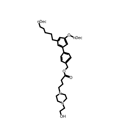 CCCCCCCCCCCCCCCc1cc(OCCCCCCCCCC)cc(-c2ccc(COC(=O)CCCN3CCN(CCO)CC3)cc2)c1